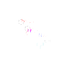 C[C@H](CC(F)(F)F)C(=O)N1CC[C@@](O)(Cn2cc(C(=O)O)c(-c3ccccc3)cc2=O)C2(CCCC2)C1